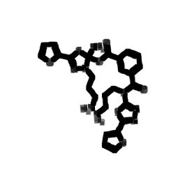 NCCCN(C(=O)c1cccc(C(=O)OC2(N)SC(c3ccco3)=NN2CCCN)c1)c1nnc(-c2ccco2)s1